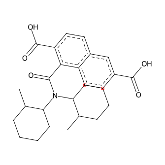 CC1CCCCC1N(C(=O)c1c(C(=O)O)ccc2cc(C(=O)O)ccc12)C1CCCCC1C